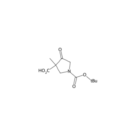 CC(C)(C)OC(=O)N1CC(=O)C(C)(C(=O)O)C1